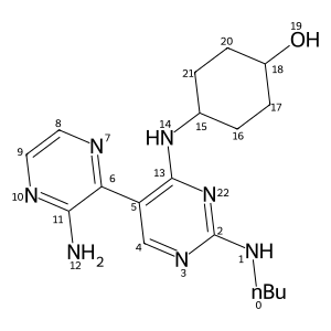 CCCCNc1ncc(-c2nccnc2N)c(NC2CCC(O)CC2)n1